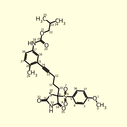 COc1ccc(S(=O)(=O)C2(CCCC#Cc3cc(NC(=O)OCC(C)C)ccc3C)SC(=O)NC2=O)cc1